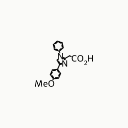 COc1ccc(-c2cn(-c3ccccc3)c(CC(=O)O)n2)cc1